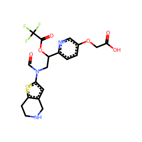 O=CN(CC(OC(=O)C(F)(F)F)c1ccc(OCC(=O)O)cn1)c1cc2c(s1)CCNC2